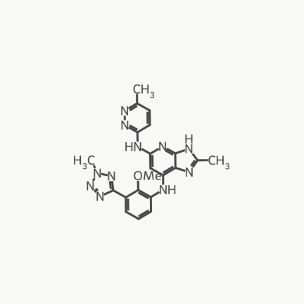 COc1c(Nc2cc(Nc3ccc(C)nn3)nc3[nH]c(C)nc23)cccc1-c1nnn(C)n1